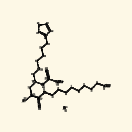 CCCCCCCCCCCCCCCCCCOC(=O)N(CC(COCCCC[n+]1ccsc1)OC(=O)NC)C(C)C.[Br-]